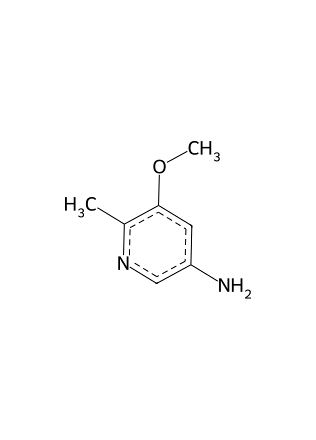 COc1cc(N)cnc1C